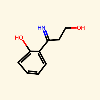 N=C(CCO)c1ccccc1O